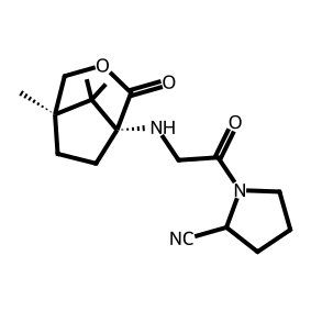 CC1(C)[C@@]2(C)CC[C@]1(NCC(=O)N1CCCC1C#N)C(=O)OC2